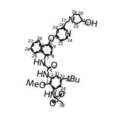 COc1c(NC(=O)Nc2ccc(Oc3ccnc(CN4CCC(O)C4)c3)c3ccccc23)cc(C(C)(C)C)cc1NS(C)(=O)=O